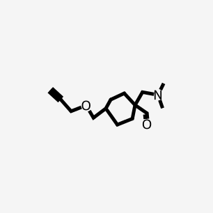 C#CCOCC1CCC(C=O)(CN(C)C)CC1